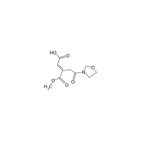 COC(=O)/C(=C/C(=O)O)CC(=O)N1CCOC1